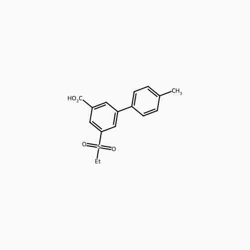 CCS(=O)(=O)c1cc(C(=O)O)cc(-c2ccc(C)cc2)c1